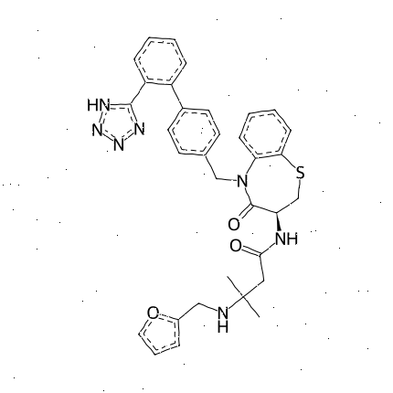 CC(C)(CC(=O)N[C@@H]1CSc2ccccc2N(Cc2ccc(-c3ccccc3-c3nnn[nH]3)cc2)C1=O)NCc1ccco1